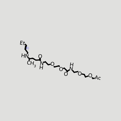 CC/C=C/CNC(C)CCC(=O)NCCOCCOCC(=O)NCCOCCOCC(C)=O